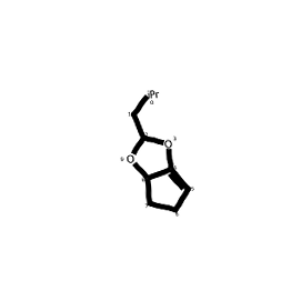 CC(C)CC1OC2=CCCC2O1